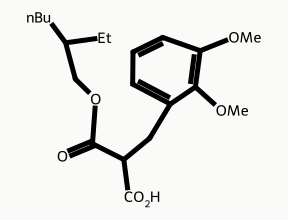 CCCCC(CC)COC(=O)C(Cc1cccc(OC)c1OC)C(=O)O